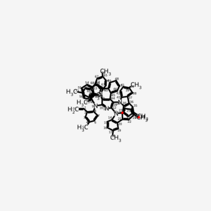 C=Cc1cc(C)ccc1N(c1nc(-n2c3ccc(C)cc3c3cc(C)ccc32)c(-n2c3ccc(C)cc3c3cc(C)ccc32)c(-c2ccccc2-c2nc3ccccc3o2)c1-n1c2ccc(C)cc2c2cc(C)ccc21)C(C)C